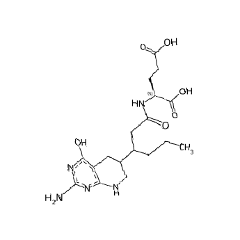 CCCC(CC(=O)N[C@@H](CCC(=O)O)C(=O)O)C1CNc2nc(N)nc(O)c2C1